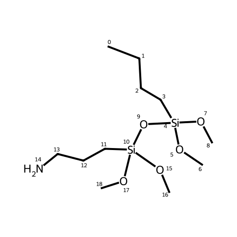 CCCC[Si](OC)(OC)O[Si](CCCN)(OC)OC